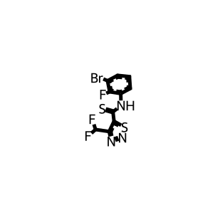 Fc1c(Br)cccc1NC(=S)c1snnc1C(F)F